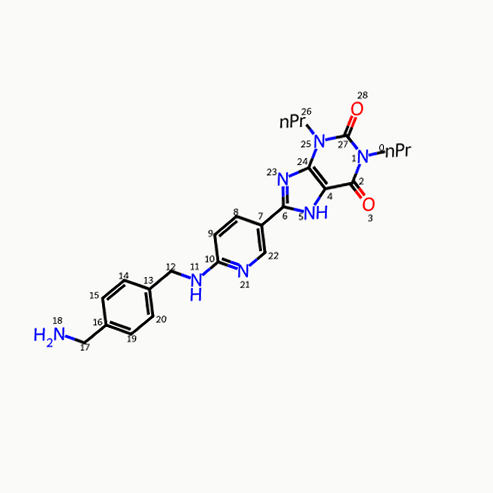 CCCn1c(=O)c2[nH]c(-c3ccc(NCc4ccc(CN)cc4)nc3)nc2n(CCC)c1=O